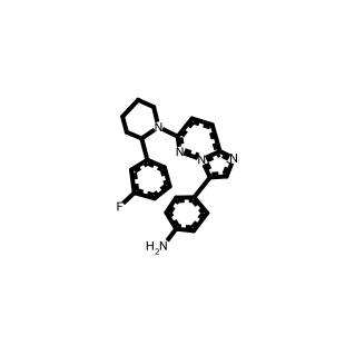 Nc1ccc(-c2cnc3ccc(N4CCCCC4c4cccc(F)c4)nn23)cc1